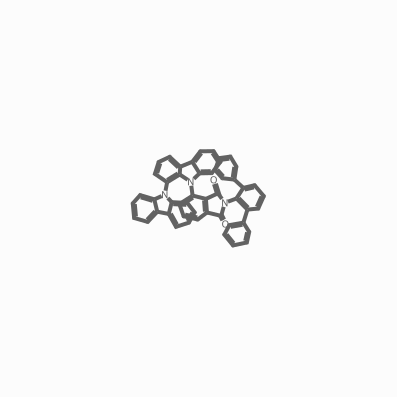 O=C1c2cccc(-n3c4ccccc4c4cccc(-n5c6ccccc6c6ccccc65)c43)c2C(=O)N1c1c(-c2ccccc2)cccc1-c1ccccc1